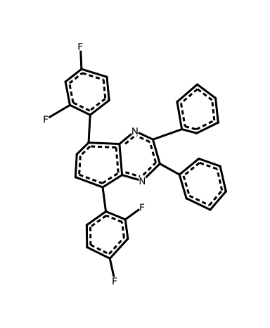 Fc1ccc(-c2ccc(-c3ccc(F)cc3F)c3nc(-c4ccccc4)c(-c4ccccc4)nc23)c(F)c1